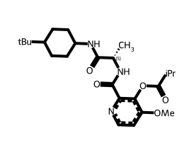 COc1ccnc(C(=O)N[C@@H](C)C(=O)NC2CCC(C(C)(C)C)CC2)c1OC(=O)C(C)C